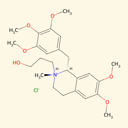 COc1cc2c(cc1OC)[C@@H](Cc1cc(OC)c(OC)c(OC)c1)[N@@+](C)(CCCO)CC2.[Cl-]